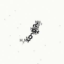 Cc1cc2ccc(CC[C@]34C[C@@H]3[C@@H](n3ccc5c(N)ncnc53)[C@@H]3OC(C)(C)O[C@@H]34)cc2nc1N